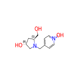 OC[C@@H]1C[C@@H](O)CN1Cc1cc[n+](O)cc1